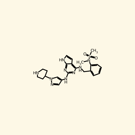 CN(c1ccccc1CNc1nc(Nc2cnn(C3CCNCC3)c2)nc2[nH]ccc12)S(C)(=O)=O